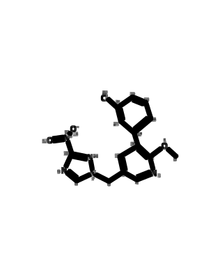 COc1ncc(Cn2cnc([N+](=O)[O-])n2)cc1-c1cccc(Cl)c1